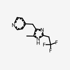 Cc1[nH]c(CC(F)(F)F)nc1Cc1ccncc1